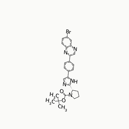 CC(C)(C)OC(=O)N1CCC[C@H]1c1ncc(-c2ccc(-c3cnc4cc(Br)ccc4n3)cc2)[nH]1